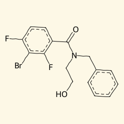 O=C(c1ccc(F)c(Br)c1F)N(CCO)Cc1ccccc1